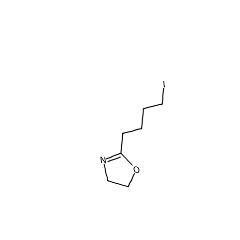 ICCCCC1=NCCO1